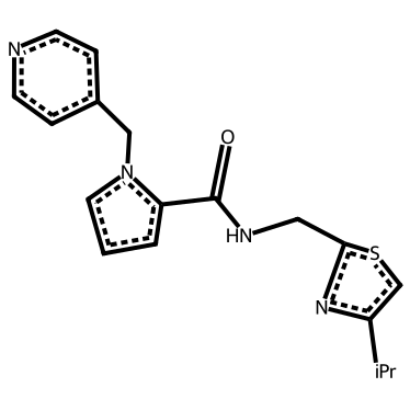 CC(C)c1csc(CNC(=O)c2cccn2Cc2ccncc2)n1